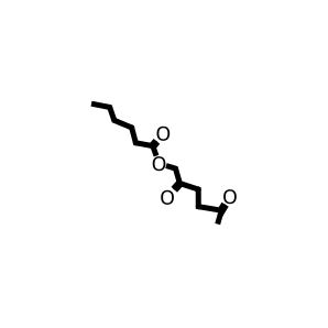 CCCCCC(=O)OCC(=O)CCC(C)=O